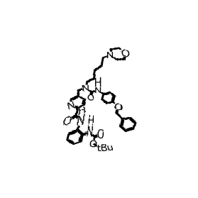 CC(C)(C)OC(=O)Nc1ccccc1NC(=O)c1ccc(CN(CCCCCN2CCOCC2)C(=O)Nc2ccc(OCc3ccccc3)cc2)cn1